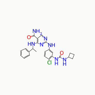 CC(Nc1nc(Nc2ccc(Cl)c(NC(=O)NC3CCC3)c2)ncc1C(N)=O)c1ccccc1